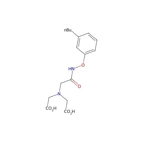 CCCCc1cccc(ONC(=O)CN(CC(=O)O)CC(=O)O)c1